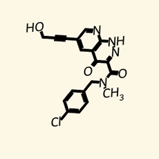 CN(Cc1ccc(Cl)cc1)C(=O)c1n[nH]c2ncc(C#CCO)cc2c1=O